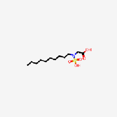 CCCCCCCCCCN(CC(=O)O)S(=O)(=O)O